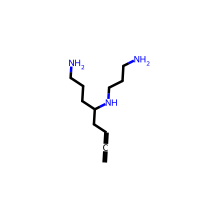 C=C=CCC(CCCN)NCCCN